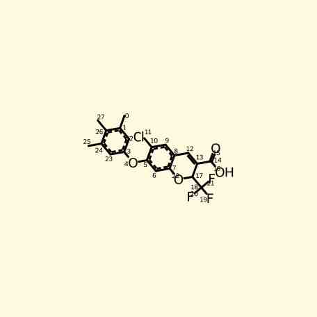 Cc1cc(Oc2cc3c(cc2Cl)C=C(C(=O)O)C(C(F)(F)F)O3)cc(C)c1C